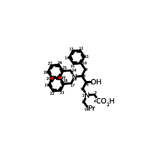 CC(C)CN(CC(=O)O)CC(O)C(Cc1ccccc1)N(Cc1ccccc1)Cc1ccccc1